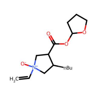 C=C[N+]1([O-])CC(CCCC)C(C(=O)OC2CCCO2)C1